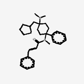 CN(C)C1(CC2CCCC2)CCC(c2ccccc2)(N(C)C(=O)/C=C/c2ccccc2)CC1